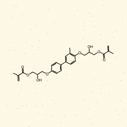 C=C(C)C(=O)OCC(O)COc1ccc(-c2ccc(OCC(O)COC(=O)C(=C)C)c(C)c2)cc1